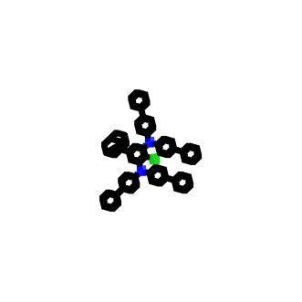 Clc1c(N(c2ccc(-c3ccccc3)cc2)c2ccc(-c3ccccc3)cc2)cc(C23CC4CC(CC(C4)C2)C3)cc1N(c1ccc(-c2ccccc2)cc1)c1ccc(-c2ccccc2)cc1